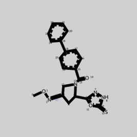 CO/N=C1/CC(c2n[nH]c(=S)o2)N(C(=O)c2ccc(-c3ccccc3)cc2)C1